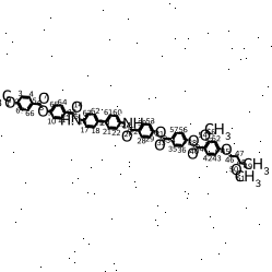 COc1ccc(C(=O)Oc2ccc(C(=O)Nc3ccc(-c4ccc(NC(=O)c5ccc(OC(=O)c6ccc(OC(=O)c7ccc(OCCC(C)OC)cc7OC)cc6)cc5)cc4)cc3)cc2)cc1